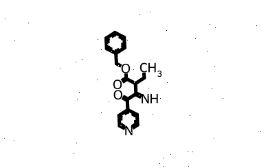 CCC(C(=N)C(=O)c1ccncc1)C(=O)OCc1ccccc1